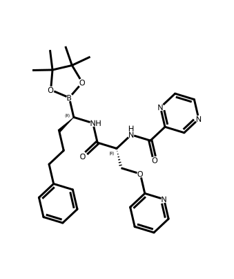 CC1(C)OB([C@H](CCCc2ccccc2)NC(=O)[C@@H](COc2ccccn2)NC(=O)c2cnccn2)OC1(C)C